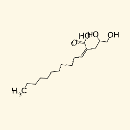 CCCCCCCCCCC=C(CC(O)CO)C(=O)O